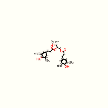 CCCCCCCCOCC(COC(=O)CCc1cc(C(C)(C)C)c(O)c(C(C)(C)C)c1)OC(=O)CCc1cc(C(C)(C)C)c(O)c(C(C)(C)C)c1